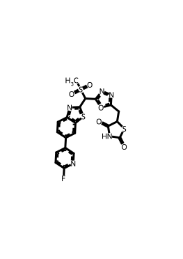 CS(=O)(=O)C(c1nnc(CC2SC(=O)NC2=O)o1)c1nc2ccc(-c3ccc(F)nc3)cc2s1